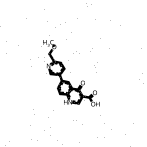 COCc1ccc(-c2ccc3[nH]cc(C(=O)O)c(=O)c3c2)cn1